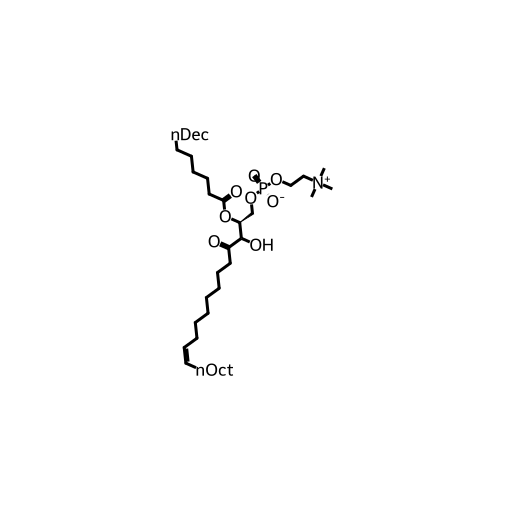 CCCCCCCC/C=C\CCCCCCCC(=O)C(O)[C@H](COP(=O)([O-])OCC[N+](C)(C)C)OC(=O)CCCCCCCCCCCCCCC